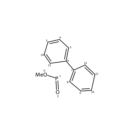 COP=O.c1ccc(-c2ccccc2)cc1